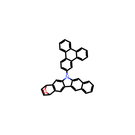 C1=CC2OC1c1cc3c4cc5ccccc5cc4n(-c4ccc5c6ccccc6c6ccccc6c5c4)c3cc12